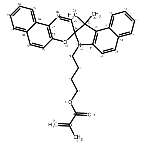 C=C(C)C(=O)OCCCCN1c2ccc3ccccc3c2C(C)(C)C12C=Nc1c(ccc3ccccc13)O2